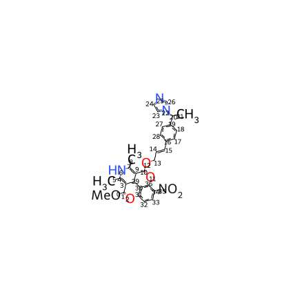 COC(=O)C1=C(C)NC(C)=C(C(=O)OCC=Cc2ccc(C(C)n3ccnc3)cc2)C1c1cccc([N+](=O)[O-])c1